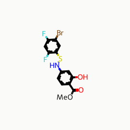 COC(=O)c1ccc(NSc2cc(Br)c(F)cc2F)cc1O